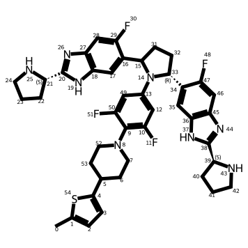 Cc1ccc(C2CCN(c3c(F)cc(N4C(c5cc6[nH]c([C@@H]7CCCN7)nc6cc5F)CC[C@@H]4c4cc5[nH]c([C@@H]6CCCN6)nc5cc4F)cc3F)CC2)s1